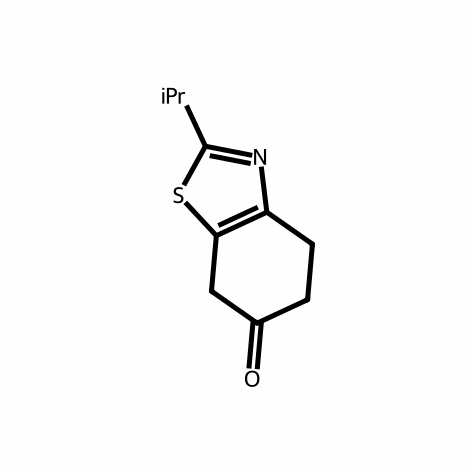 CC(C)c1nc2c(s1)CC(=O)CC2